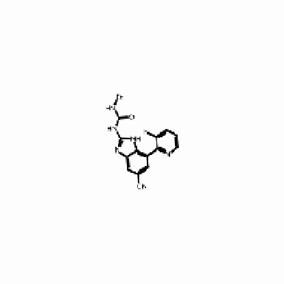 CCNC(=O)Nc1nc2cc(C#N)cc(-c3ncccc3F)c2[nH]1